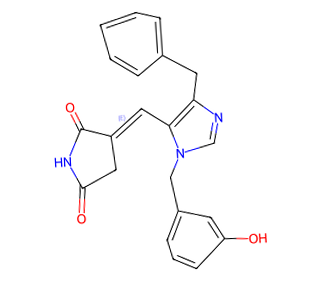 O=C1C/C(=C\c2c(Cc3ccccc3)ncn2Cc2cccc(O)c2)C(=O)N1